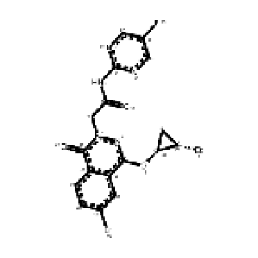 CC[C@H]1C[C@@H]1Oc1nn(CC(=O)Nc2ncc(F)cn2)c(=O)c2ccc(Br)cc12